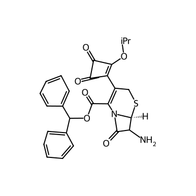 CC(C)Oc1c(C2=C(C(=O)OC(c3ccccc3)c3ccccc3)N3C(=O)C(N)[C@@H]3SC2)c(=O)c1=O